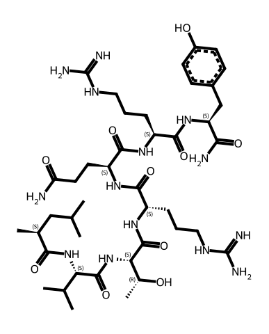 CC(C)C[C@H](C)C(=O)N[C@H](C(=O)N[C@H](C(=O)N[C@@H](CCCNC(=N)N)C(=O)N[C@@H](CCC(N)=O)C(=O)N[C@@H](CCCNC(=N)N)C(=O)N[C@@H](Cc1ccc(O)cc1)C(N)=O)[C@@H](C)O)C(C)C